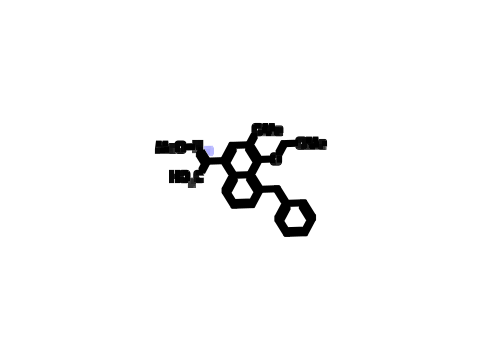 COCOc1c(OC)cc(/C(=N/OC)C(=O)O)c2cccc(Cc3ccccc3)c12